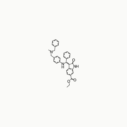 CCOC(=O)c1ccc2c(c1)NC(=O)C2=C(Nc1ccc(CN(C)Cc2ccccc2)cc1)c1ccccc1